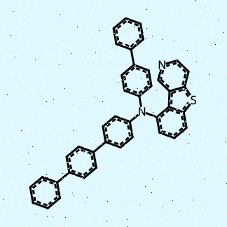 c1ccc(-c2ccc(-c3ccc(N(c4ccc(-c5ccccc5)cc4)c4cccc5sc6ccncc6c45)cc3)cc2)cc1